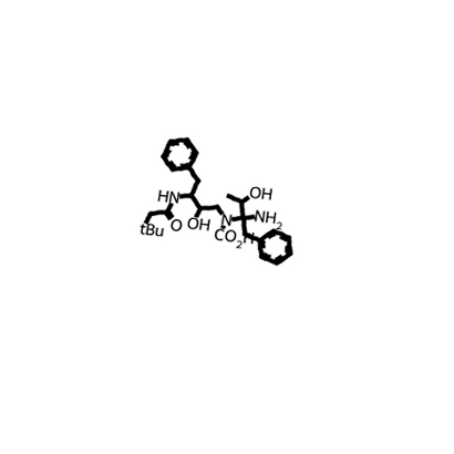 CC(O)C(N)(Cc1ccccc1)N(CC(O)C(Cc1ccccc1)NC(=O)CC(C)(C)C)C(=O)O